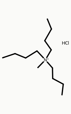 CCCC[N+](C)(CCCC)CCCC.Cl